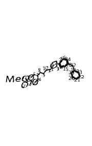 COC(=O)C1(C)OCC(CCCCOc2ccc(Cc3ccccc3)cc2)CO1